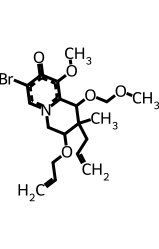 C=CCOC1Cn2cc(Br)c(=O)c(OC)c2C(OCOC)C1(C)CC=C